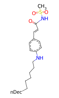 CCCCCCCCCCCCCCCCNc1ccc(C=CC(=O)NS(C)(=O)=O)cc1